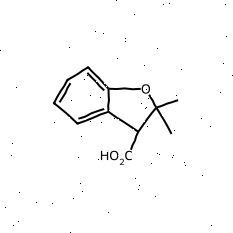 CC1(C)Oc2ccccc2C1C(=O)O